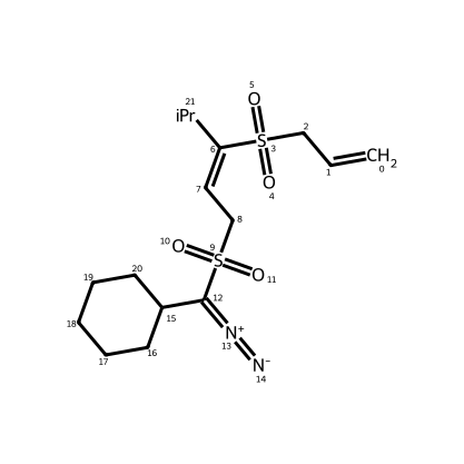 C=CCS(=O)(=O)C(=CCS(=O)(=O)C(=[N+]=[N-])C1CCCCC1)C(C)C